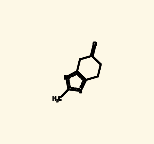 Cc1nc2c(s1)CCC(=O)C2